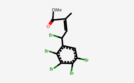 COC(=O)C(C)=CC(Br)c1cc(Br)c(Br)c(Br)c1Br